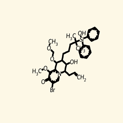 C=CCC1C(O)C(CCCC(C)(C)[Si](O)(c2ccccc2)c2ccccc2)C(OCOC)c2c(OC)c(=O)c(Br)cn21